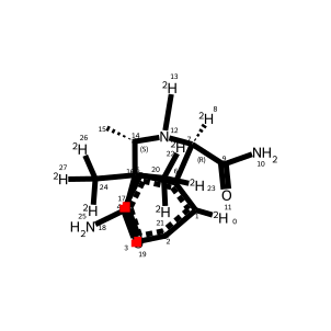 [2H]c1ccccc1[C@]([2H])(C(N)=O)N([2H])[C@@H](C)C(C(N)=O)(C([2H])([2H])[2H])C([2H])([2H])[2H]